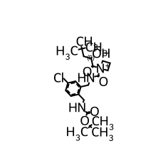 CC(C)(C)C[C@@H](O)C(=O)[N+]1(C(=O)NCc2cc(Cl)ccc2CNC(=O)OC(C)(C)C)CCC1